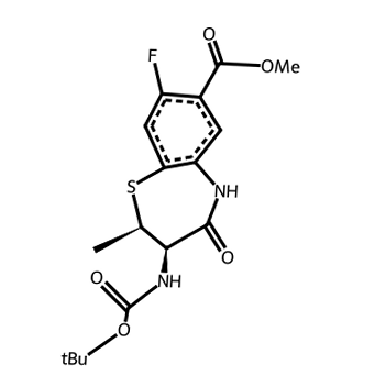 COC(=O)c1cc2c(cc1F)S[C@H](C)[C@H](NC(=O)OC(C)(C)C)C(=O)N2